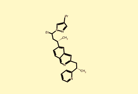 CCC(C[C@H](C)c1ccc2cnc(C[C@H](C)c3ccccn3)cc2c1)n1cc(C(C)C)cn1